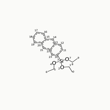 CCO[Si](OCC)(OCC)c1ccc2cc3ccccc3cc2c1